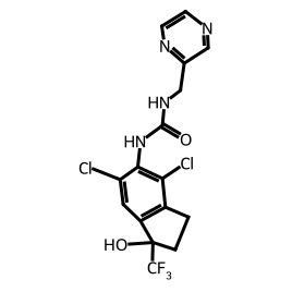 O=C(NCc1cnccn1)Nc1c(Cl)cc2c(c1Cl)CCC2(O)C(F)(F)F